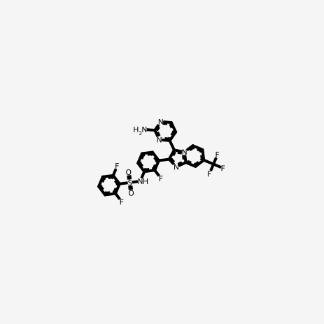 Nc1nccc(-c2c(-c3cccc(NS(=O)(=O)c4c(F)cccc4F)c3F)nc3cc(C(F)(F)F)ccn23)n1